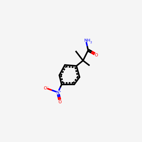 CC(C)(C(N)=O)c1ccc([N+](=O)[O-])cc1